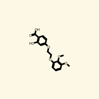 COc1cccc(OCCOc2ccc(C(=O)O)c(O)c2)c1OC